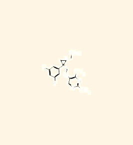 CC(=O)OC[C@@H]1C[C@@]1(COc1cnc(C)nc1C)c1cc(F)cc(F)c1